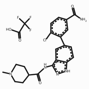 CN1CCC(C(=O)Nc2n[nH]c3ccc(-c4cc(C(N)=O)ccc4Cl)cc23)CC1.O=C(O)C(F)(F)F